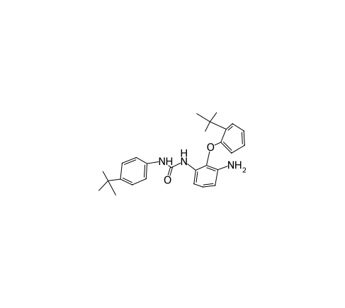 CC(C)(C)c1ccc(NC(=O)Nc2cccc(N)c2Oc2ccccc2C(C)(C)C)cc1